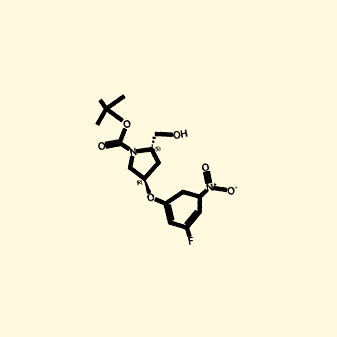 CC(C)(C)OC(=O)N1C[C@H](OC2=CC(F)=CC([N+](=O)[O-])C2)C[C@H]1CO